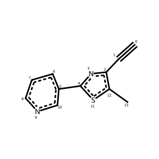 C#Cc1nc(-c2cccnc2)sc1C